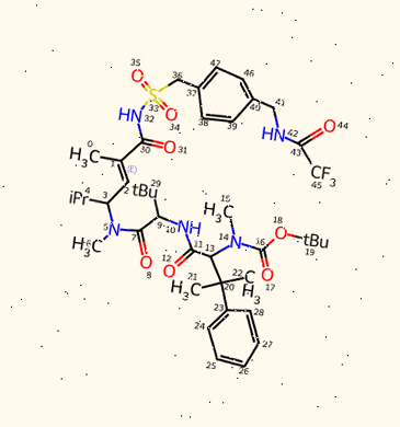 C/C(=C\C(C(C)C)N(C)C(=O)C(NC(=O)C(N(C)C(=O)OC(C)(C)C)C(C)(C)c1ccccc1)C(C)(C)C)C(=O)NS(=O)(=O)Cc1ccc(CNC(=O)C(F)(F)F)cc1